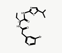 CC[C@H](NC(=O)Cc1cncc(Br)c1)C(=O)Nc1ncc(C(C)C)s1